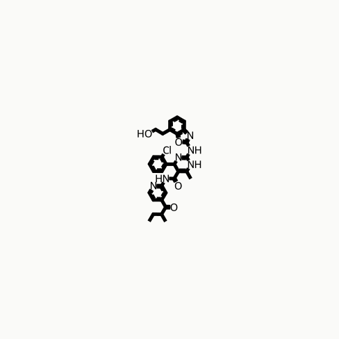 CCC(C)C(=O)c1ccnc(NC(=O)C2=C(C)NC(Nc3nc4cccc(CCO)c4o3)=NC2c2ccccc2Cl)c1